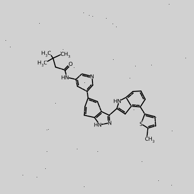 Cc1ccc(-c2cccc3[nH]c(-c4n[nH]c5ccc(-c6cncc(NC(=O)CC(C)(C)C)c6)cc45)cc23)s1